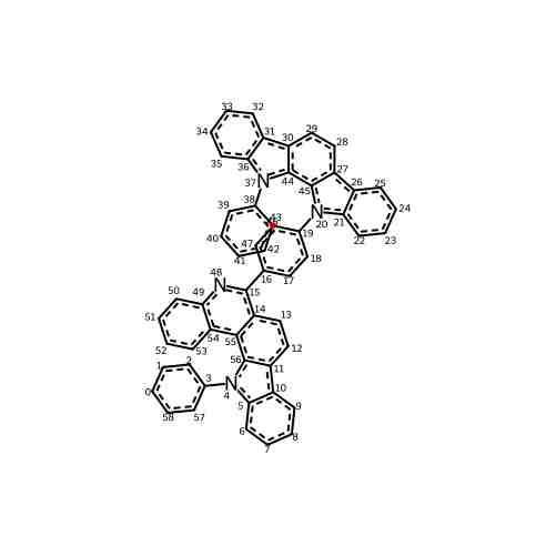 c1ccc(-n2c3ccccc3c3ccc4c(-c5ccc(-n6c7ccccc7c7ccc8c9ccccc9n(-c9ccccc9)c8c76)cc5)nc5ccccc5c4c32)cc1